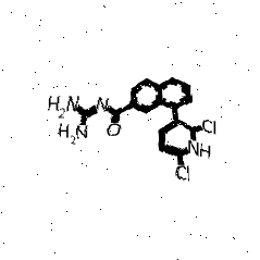 NC(N)=NC(=O)c1ccc2cccc(C3=CC=C(Cl)NC3Cl)c2c1